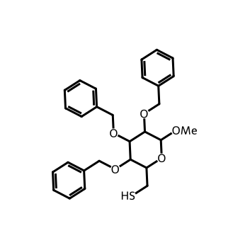 COC1OC(CS)C(OCc2ccccc2)C(OCc2ccccc2)C1OCc1ccccc1